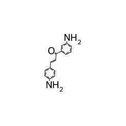 Nc1ccc(/C=C/C(=O)c2cccc(N)c2)cc1